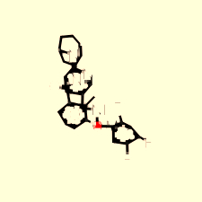 COc1cccc(C(=O)NC2CC3CCC(C2)N3c2ccc(C(=O)NCc3cc(F)c(F)cc3F)cn2)c1C